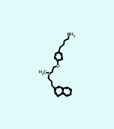 CN(CCCc1ccc2ccccc2c1)CCOc1ccc(CCCCN)cc1